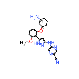 COc1cccc(O[C@@H]2CCC[C@H](N)C2)c1-c1cc(Nc2cnc(C#N)cn2)n[nH]1